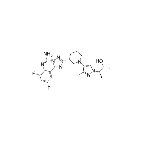 Cc1nn([C@H](C)[C@@H](C)O)cc1N1CCC[C@@H](c2nc3c4cc(F)cc(F)c4nc(N)n3n2)C1